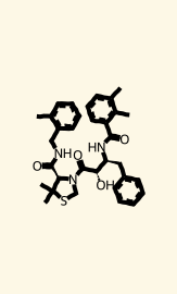 Cc1ccccc1CNC(=O)[C@H]1N(C(=O)[C@@H](O)[C@H](Cc2ccccc2)NC(=O)c2cccc(C)c2C)CSC1(C)C